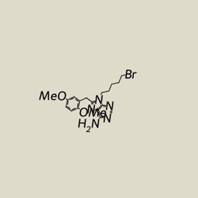 COc1ccc(OC)c(Cc2nc3c(N)ncnc3n2CCCCCBr)c1